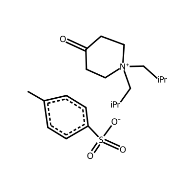 CC(C)C[N+]1(CC(C)C)CCC(=O)CC1.Cc1ccc(S(=O)(=O)[O-])cc1